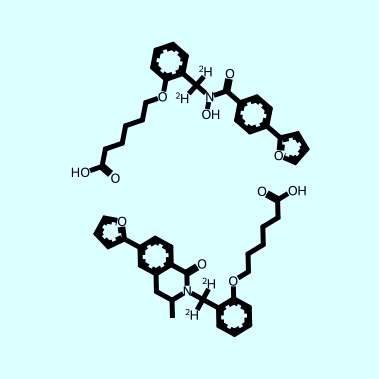 [2H]C([2H])(c1ccccc1OCCCCCC(=O)O)N(O)C(=O)c1ccc(-c2ccco2)cc1.[2H]C([2H])(c1ccccc1OCCCCCC(=O)O)N1C(=O)c2ccc(-c3ccco3)cc2CC1C